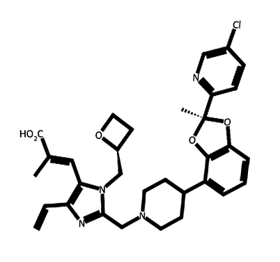 C=Cc1nc(CN2CCC(c3cccc4c3O[C@@](C)(c3ccc(Cl)cn3)O4)CC2)n(C[C@@H]2CCO2)c1/C=C(\C)C(=O)O